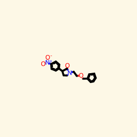 O=C1C(c2ccc([N+](=O)[O-])cc2)CCN1CCOCc1ccccc1